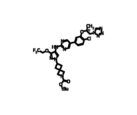 C[C@@H](Cn1cnnn1)Oc1cc(-c2cnc(Nc3cn(C4CC5(C4)CN(C(=O)OC(C)(C)C)C5)nc3OCC(F)(F)F)nc2)ccc1Cl